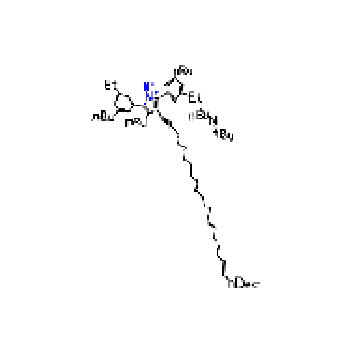 CCCCCCCCCCCCCCCCCCCCCCCCCCCCC#CC1=C(c2cc(CC)cc(CCCC)c2)[N+](=[N-])C(c2cc(CC)cc(CCCC)c2)=C1CCCC.CCC[CH2][Ni][CH2]CCC